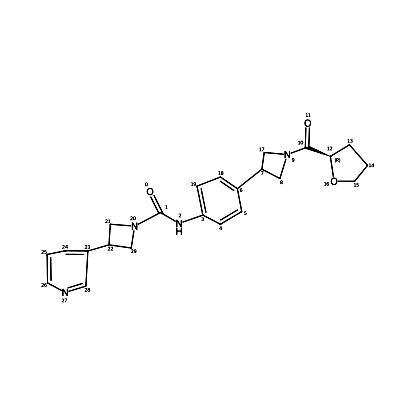 O=C(Nc1ccc(C2CN(C(=O)[C@H]3CCCO3)C2)cc1)N1CC(c2cccnc2)C1